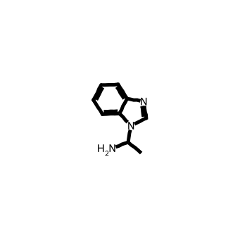 CC(N)n1cnc2ccccc21